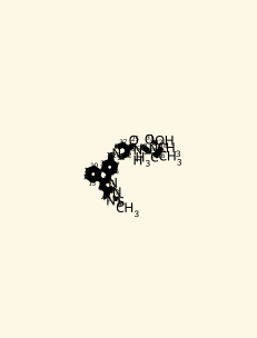 CSc1ncc2cc(-c3ccccc3)c(-c3ccc(CN4CCC(C(=O)NCCN(C(=O)O)C(C)(C)C)CC4)cc3)nc2n1